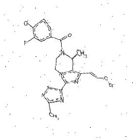 CCOC=Cc1nc(-c2nc(C)ns2)n2c1C(C)N(C(=O)c1ccc(Cl)c(F)c1)CC2